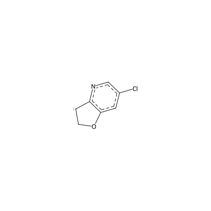 Clc1cnc2c(c1)OC[C]2